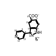 O=C([O-])c1ccc2[nH]nc(-c3ccncc3)c2c1.[K+]